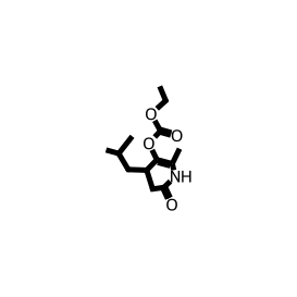 CCOC(=O)OC1=C(C)NC(=O)CC1CC(C)C